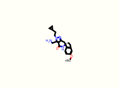 CCCCOc1ccc2c(c1)CC[C@]21Cc2nn(CCC3CC3)c(CN)c2C(=O)N1